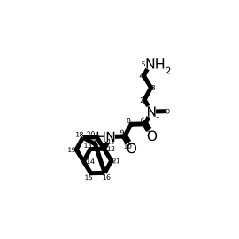 CN(CCCN)C(=O)CC(=O)NC12CC3CC(CC(C3)C1)C2